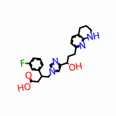 O=C(O)CC(Cn1cnc(C(O)CCc2ccc3c(n2)NCCC3)c1)c1cccc(F)c1